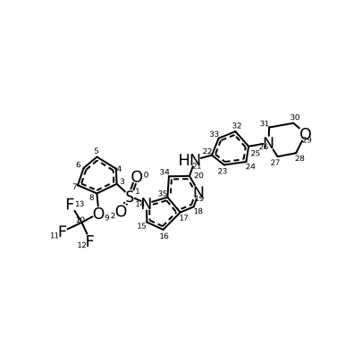 O=S(=O)(c1ccccc1OC(F)(F)F)n1ccc2cnc(Nc3ccc(N4CCOCC4)cc3)cc21